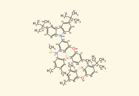 CSN1c2cc(C)c(C)cc2B2c3cc(B4c5cc(C(C)(C)C)ccc5Oc5cc(C)cc(C)c54)c(C)cc3Oc3cc(-n4c5ccc(C(C)(C)C)cc5c5cc(C(C)(C)C)ccc54)cc1c32